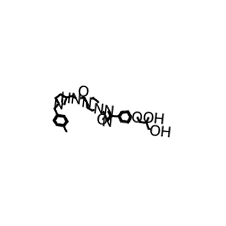 Cc1ccc(CN2CCC(CNC(=O)N3CCN(c4nc(-c5ccc(OCC(O)CO)cc5)no4)CC3)C2)cc1